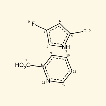 Fc1c[nH]c(F)c1.O=C(O)c1ccccn1